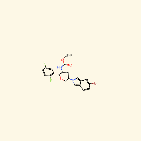 CC(C)(C)OC(=O)N[C@H]1C[C@@H](n2cc3ccc(Br)cc3c2)CO[C@@H]1c1cc(F)ccc1F